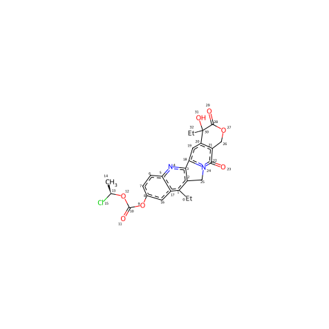 CCc1c2c(nc3ccc(OC(=O)O[C@H](C)Cl)cc13)-c1cc3c(c(=O)n1C2)COC(=O)C3(O)CC